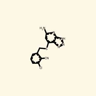 N#Cc1c(Cl)cccc1CSc1cc(N)nc2[nH]nnc12